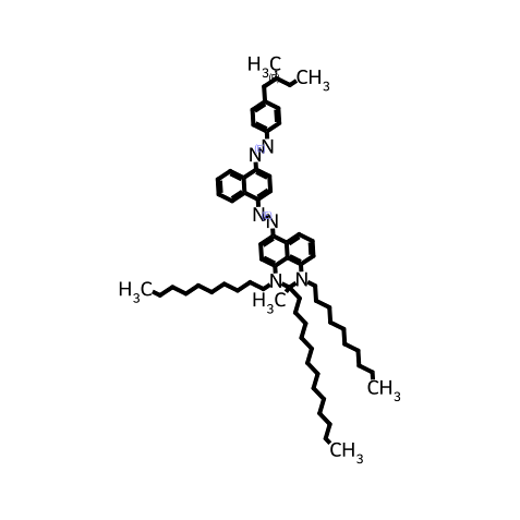 CCCCCCCCCCCCCC1(C)N(CCCCCCCCCC)c2cccc3c(/N=N/c4ccc(/N=N/c5ccc(C[C@H](C)CC)cc5)c5ccccc45)ccc(c23)N1CCCCCCCCCC